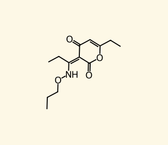 CCCONC(CC)=C1C(=O)C=C(CC)OC1=O